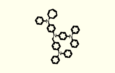 C1=CC=CC(N(c2ccccc2)c2ccc(N(Cc3ccc(N(c4ccccc4)c4ccccc4)cc3)c3ccc(N(c4ccccc4)c4ccccc4)cc3)cc2)C=C1